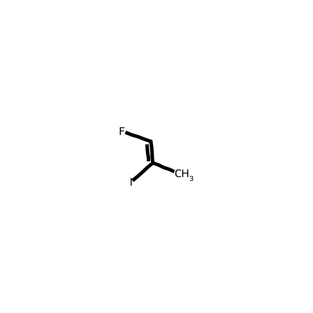 CC(I)=CF